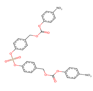 O=C(OCc1ccc(OS(=O)(=O)Oc2ccc(COC(=O)Oc3ccc([N+](=O)[O-])cc3)cc2)cc1)Oc1ccc([N+](=O)[O-])cc1